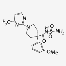 COc1cccc(C2(C(=O)NS(N)(=O)=O)CCN(c3nccc(C(F)(F)F)n3)CC2)c1